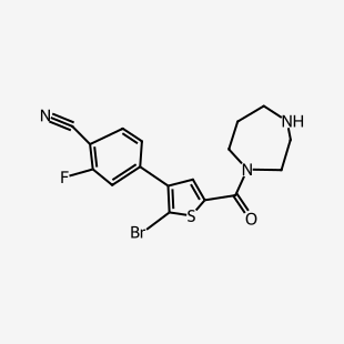 N#Cc1ccc(-c2cc(C(=O)N3CCCNCC3)sc2Br)cc1F